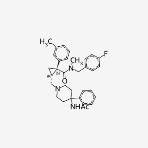 CC(=O)NC1(c2ccccc2)CCN(C[C@@H]2C[C@@]2(C(=O)N(C)Cc2ccc(F)cc2)c2cccc(C)c2)CC1